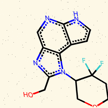 OCc1nc2cnc3[nH]ccc3c2n1C1COCCC1(F)F